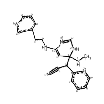 CNC1(C(C#N)c2ccccn2)C=C(NCCc2cccnc2)N=CN1